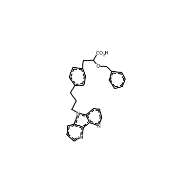 O=C(O)C(Cc1ccc(CCCn2c3cccnc3c3ncccc32)cc1)OCc1ccccc1